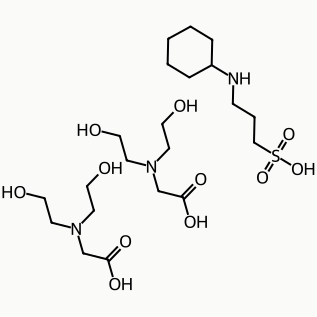 O=C(O)CN(CCO)CCO.O=C(O)CN(CCO)CCO.O=S(=O)(O)CCCNC1CCCCC1